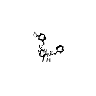 COc1cccc(COc2ncc(F)c(NOCc3ccccc3)n2)c1